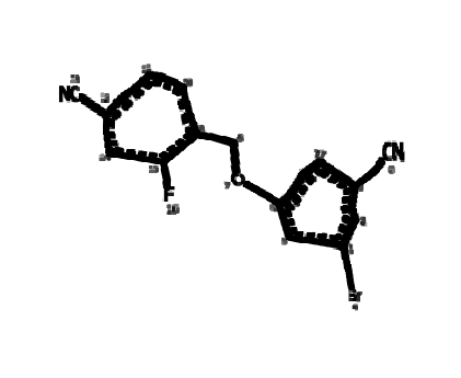 N#Cc1cc(Br)cc(OCc2ccc(C#N)cc2F)c1